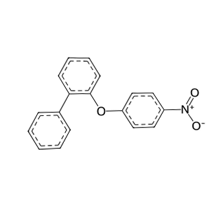 O=[N+]([O-])c1ccc(Oc2ccccc2-c2ccccc2)cc1